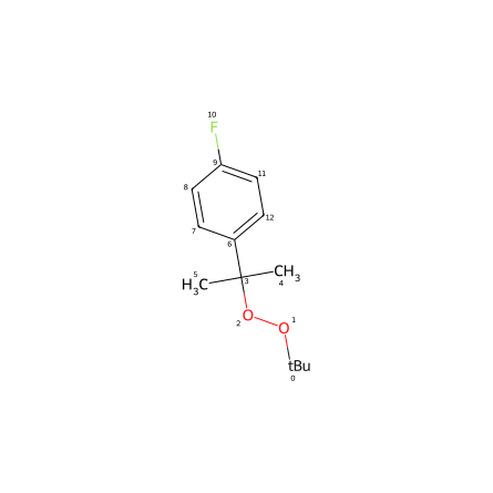 CC(C)(C)OOC(C)(C)c1ccc(F)cc1